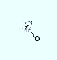 CC(C)Cn1c(Br)nc2c(N)nc(SCCCc3ccccc3)nc21